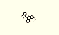 CN(C)Cc1ccc(C2N=c3cc(F)cc4c3=C(NNC4=O)C2c2ccccc2)cc1